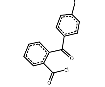 O=C(Cl)c1ccccc1C(=O)c1ccc(F)cc1